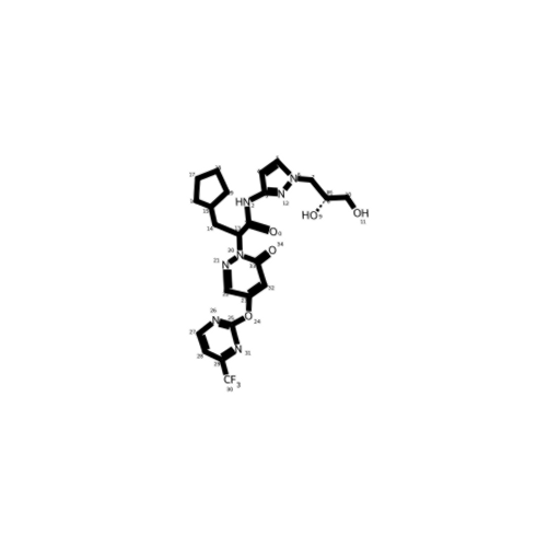 O=C(Nc1ccn(C[C@@H](O)CO)n1)C(CC1CCCC1)n1ncc(Oc2nccc(C(F)(F)F)n2)cc1=O